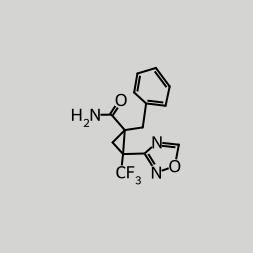 NC(=O)C1(Cc2ccccc2)CC1(c1ncon1)C(F)(F)F